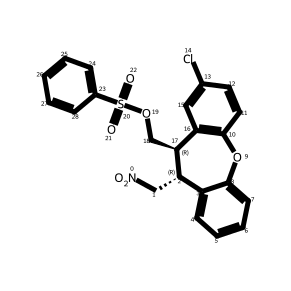 O=[N+]([O-])C[C@H]1c2ccccc2Oc2ccc(Cl)cc2[C@@H]1COS(=O)(=O)c1ccccc1